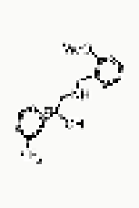 COc1ccccc1CNC[C@@H](O)c1cccc(C(F)(F)F)c1